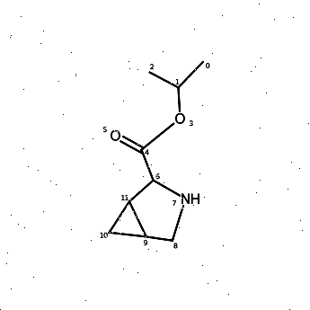 CC(C)OC(=O)C1NCC2CC21